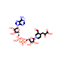 Nc1ncnc2c1ncn2[C@@H]1O[C@H](COP(=O)(O)OP(=O)(O)OC[C@H]2O[C@@H](N3C=CC(CC(=O)C(=O)O)C(C=O)=C3)[C@H](O)[C@@H]2O)[C@@H](O)[C@H]1O